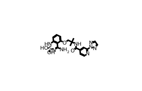 CC(C)(COc1cccc2c1C(N)=NS(O)(O)N2)NC(=O)c1ccnc(-n2nccn2)c1